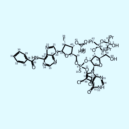 CC(C)[Si](O)(O[Si](O[C@H]1[C@@H](OP(=S)(OCCC#N)OC[C@H]2O[C@@H](n3cnc4c(NC(=O)c5ccccc5)ncnc43)[C@H](F)[C@@H]2O[PH](=O)O)[C@H](n2cc(Cl)c3c(=O)[nH]cnc32)O[C@@H]1CO)(C(C)C)C(C)C)C(C)C